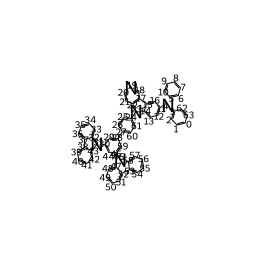 c1ccc(N(c2ccccc2)c2ccc3c(c2)c2cnccc2n3-c2ccc(-c3cc(-n4c5ccccc5c5ccccc54)cc(-n4c5ccccc5c5ccccc54)c3)cc2)cc1